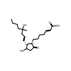 CCCCC(C)(O)CC=C[C@H]1C(O)CC(=O)[C@@H]1CCCCC=CC(=O)O